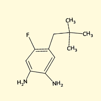 CC(C)(C)Cc1cc(N)c(N)cc1F